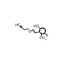 C#CCCON=Cc1c(O)ccc(F)c1C